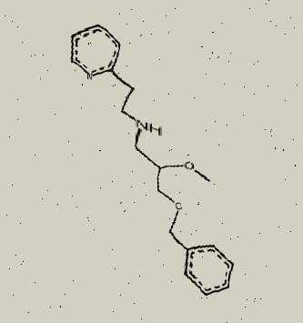 COC(CNCCc1ccccn1)COCc1ccccc1